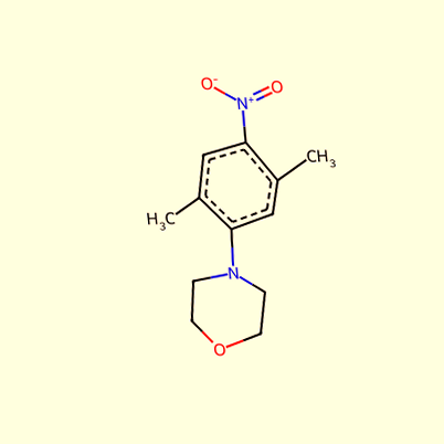 Cc1cc([N+](=O)[O-])c(C)cc1N1CCOCC1